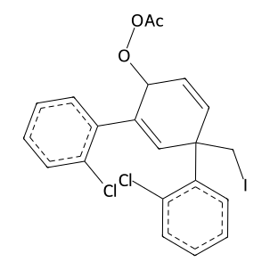 CC(=O)OOC1C=CC(CI)(c2ccccc2Cl)C=C1c1ccccc1Cl